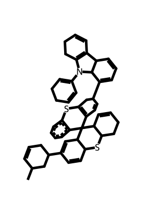 CC1C=CCC(C2=CC3C(C=C2)SC2CCC=CC2C32C3=C(CC(C4=CC=CC5C6=C(CCC=C6)N(C6=CCCC=C6)C45)C=C3)Sc3ccccc32)C1